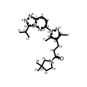 Cc1nn(-c2ccc3nnc(C(C)C)n3n2)c(C)c1CCC(=O)N1CCC(C)(C)C1